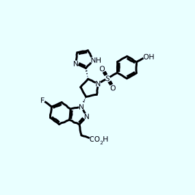 O=C(O)Cc1nn([C@@H]2C[C@H](c3ncc[nH]3)N(S(=O)(=O)c3ccc(O)cc3)C2)c2cc(F)ccc12